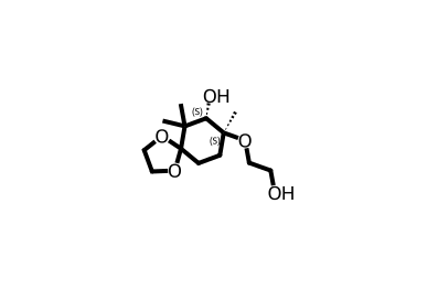 CC1(C)[C@H](O)[C@@](C)(OCCO)CCC12OCCO2